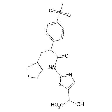 CS(=O)(=O)c1ccc(C(CC2CCCC2)C(=O)Nc2ncc(C(O)C(=O)O)s2)cc1